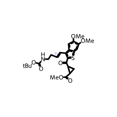 COC(=O)C1CC1C(=O)c1sc2cc(OC)c(OC)cc2c1/C=C/CCNC(=O)OC(C)(C)C